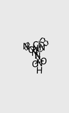 O=C1NC(=O)C2CN(c3nc(OCC45CCCN4CCC5)nc4c3CCN(c3cccc5cccc(Cl)c35)C4)CC12